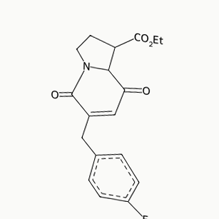 CCOC(=O)C1CCN2C(=O)C(Cc3ccc(F)cc3)=CC(=O)C12